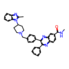 CNC(=O)c1ccc2nc(-c3ccccc3)c(-c3ccc(CN4CCC(n5c(C)nc6ccccc65)CC4)cc3)nc2c1